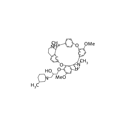 COc1ccc2cc1Oc1ccc(cc1)C[C@H]1c3cc(ccc3CCN1C)Oc1c(OCC(O)CN3CCCC(C)C3)c(OC)cc3c1[C@H](C2)N(C)CC3